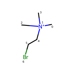 C[N+](C)(C)CCBr